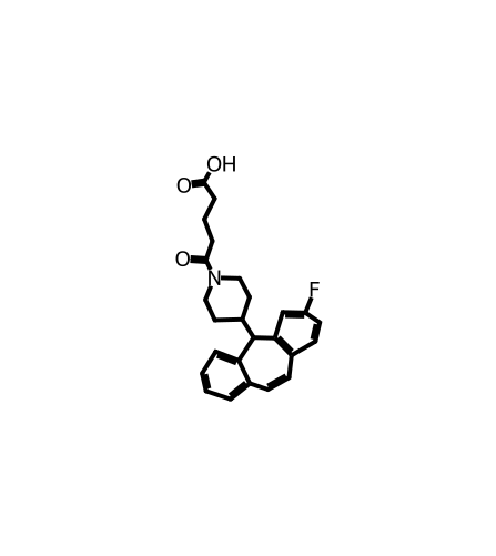 O=C(O)CCCC(=O)N1CCC(C2c3ccccc3C=Cc3ccc(F)cc32)CC1